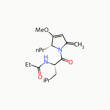 C=C1C=C(OC)[C@@H](CCC)N1C(=O)[C@H](CC(C)C)NC(=O)CC